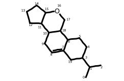 CC(C)C1CCC2C(=CCC3C4CCCC4OCC23)C1